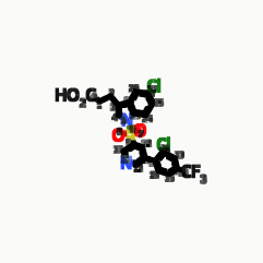 O=C(O)CCc1cn(S(=O)(=O)c2cncc(-c3ccc(C(F)(F)F)cc3Cl)c2)c2ccc(Cl)cc12